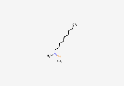 CCCCCCCCCN(C)PC